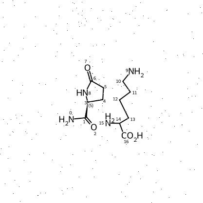 NC(=O)[C@@H]1CCC(=O)N1.NCCCCC(N)C(=O)O